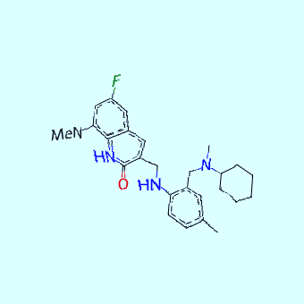 CNc1cc(F)cc2cc(CNc3ccc(C)cc3CN(C)C3CCCCC3)c(=O)[nH]c12